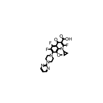 COc1c(N2CCN(c3ncccn3)CC2)c(F)c(F)c2c(=O)c(C(=O)O)c(F)n(C3CC3)c12